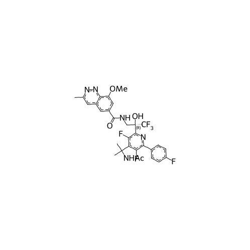 COc1cc(C(=O)NC[C@@](O)(c2nc(-c3ccc(F)cc3)c(F)c(C(C)(C)NC(C)=O)c2F)C(F)(F)F)cc2cc(C)nnc12